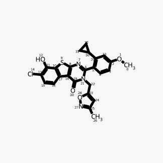 COc1ccc(-c2nc3sc4c(O)c(Cl)ccc4c3c(=O)n2Cc2cc(C)no2)c(C2CC2)c1